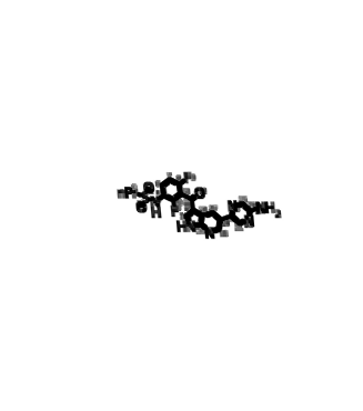 CCCS(=O)(=O)Nc1ccc(F)c(C(=O)c2c[nH]c3ncc(-c4cnc(N)cn4)cc23)c1F